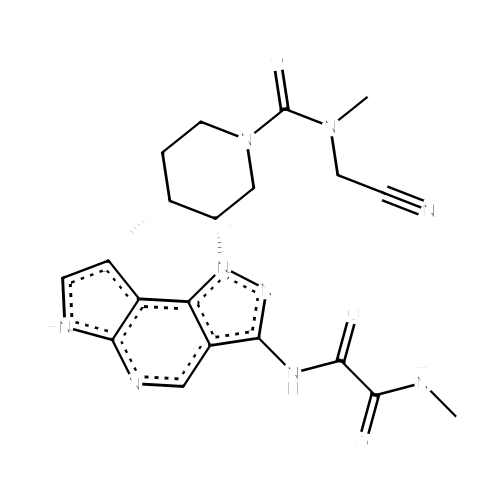 CNC(=O)C(=O)Nc1nn([C@H]2CN(C(=O)N(C)CC#N)CC[C@H]2C)c2c1cnc1[nH]ccc12